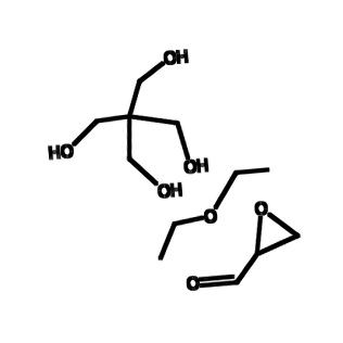 CCOCC.O=CC1CO1.OCC(CO)(CO)CO